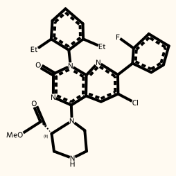 CCc1cccc(CC)c1-n1c(=O)nc(N2CCNC[C@@H]2C(=O)OC)c2cc(Cl)c(-c3ccccc3F)nc21